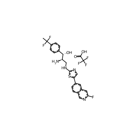 CC(F)(F)c1ccc([C@H](O)[C@H](N)CNc2ncc(-c3ccc4cnc(F)cc4c3)s2)cc1.O=C(O)C(F)(F)F